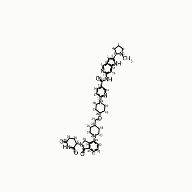 CN1CCC[C@@H]1c1cc2cnc(NC(=O)c3ccc(N4CCC(OCC5CCN(c6cccc7c6CN(C6CCC(=O)NC6=O)C7=O)CC5)CC4)nc3)cc2[nH]1